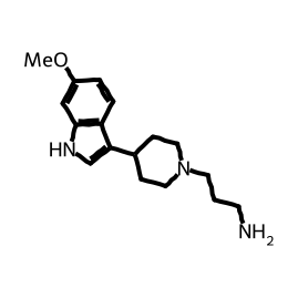 COc1ccc2c(C3CCN(CCCN)CC3)c[nH]c2c1